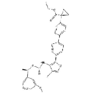 CCOC(=O)C1(c2ccc(-c3ccc(-c4onc(C)c4NC(=O)O[C@H](C)c4cccc(OC)c4)cc3)cc2)CC1